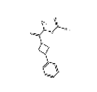 CC(OC(N)=O)C(=O)N1CC(c2ccccc2)C1